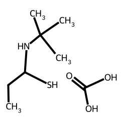 CCC(S)NC(C)(C)C.O=C(O)O